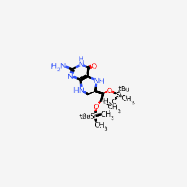 C[C@H](O[Si](C)(C)C(C)(C)C)[C@H](O[Si](C)(C)C(C)(C)C)[C@H]1CNc2nc(N)[nH]c(=O)c2N1